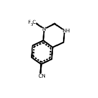 N#Cc1ccc2c(c1)CNCN2C(F)(F)F